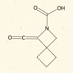 O=C=C1N(C(=O)O)CC12CCC2